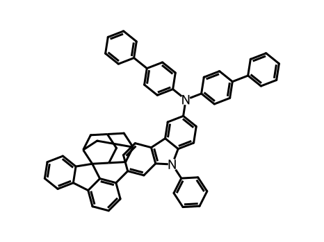 c1ccc(-c2ccc(N(c3ccc(-c4ccccc4)cc3)c3ccc4c(c3)c3ccc(-c5cccc6c5C5(c7ccccc7-6)C6CC7CC(C6)CC5C7)cc3n4-c3ccccc3)cc2)cc1